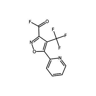 O=C(F)c1noc(-c2ccccn2)c1C(F)(F)F